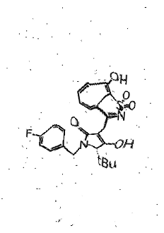 CC(C)(C)[C@H]1C(O)=C(C2=NS(=O)(=O)c3c(O)cccc32)C(=O)N1Cc1ccc(F)cc1